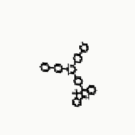 CC1(C)c2ccccc2-c2nc3ccccc3c(-c3ccc(-c4cc(-c5ccc(-c6cccnc6)cc5)nc(-c5ccc(-c6ccccc6)cc5)n4)cc3)c21